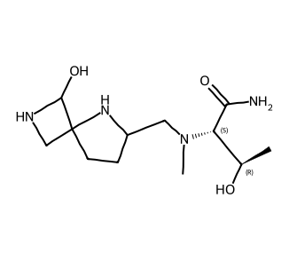 C[C@@H](O)[C@@H](C(N)=O)N(C)CC1CCC2(CNC2O)N1